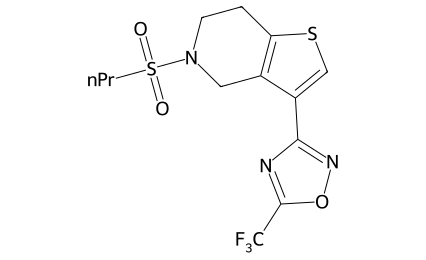 CCCS(=O)(=O)N1CCc2scc(-c3noc(C(F)(F)F)n3)c2C1